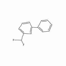 FC(F)c1cccc(-c2cc[c]cc2)c1